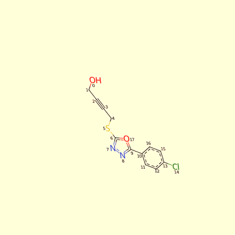 OCC#CCSc1nnc(-c2ccc(Cl)cc2)o1